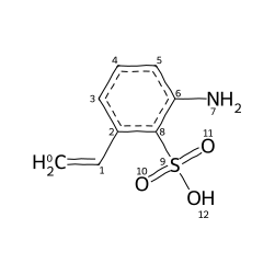 C=Cc1cccc(N)c1S(=O)(=O)O